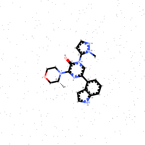 C[C@@H]1COCCN1c1nc(-c2cccc3[nH]ccc23)cn(-c2ccnn2C)c1=O